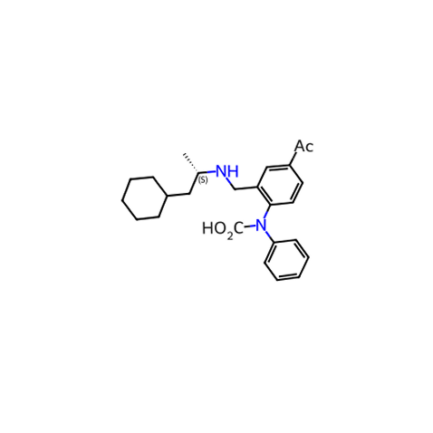 CC(=O)c1ccc(N(C(=O)O)c2ccccc2)c(CN[C@@H](C)CC2CCCCC2)c1